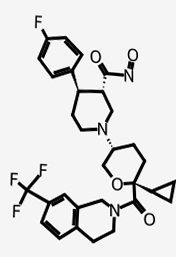 O=NC(=O)[C@@H]1CN([C@@H]2CC[C@@](C(=O)N3CCc4ccc(C(F)(F)F)cc4C3)(C3CC3)OC2)CC[C@H]1c1ccc(F)cc1